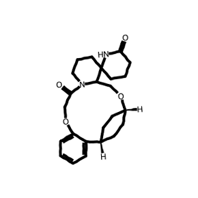 O=C1CCCC2(CCCN3C(=O)COc4ccccc4[C@H]4CC[C@H](CC4)OCC32)N1